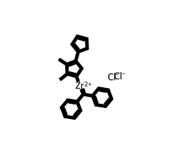 CC1=[C]([Zr+2]=[C](c2ccccc2)c2ccccc2)CC(C2=CC=CC2)=C1C.[Cl-].[Cl-]